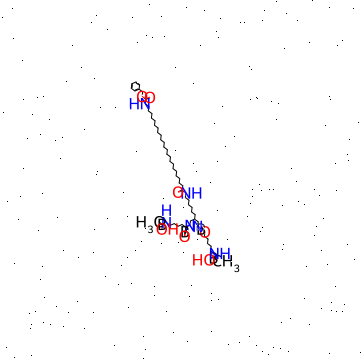 CB(O)NCCCCCO/B=N\CC(CCCCCCNC(=O)CCCCCCCCCCCCCCCCCCCCCCCNC(=O)OCc1ccccc1)CN=C(B=O)CCCCNB(C)O